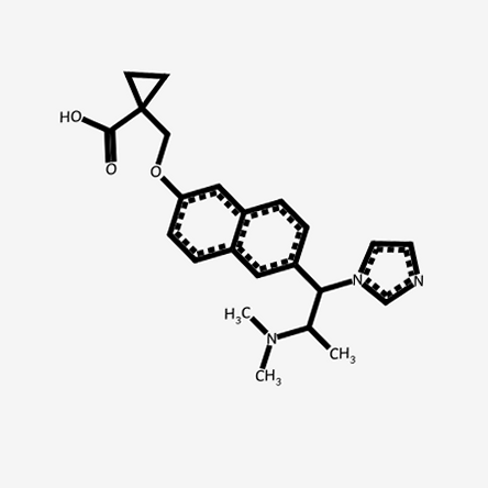 CC(C(c1ccc2cc(OCC3(C(=O)O)CC3)ccc2c1)n1ccnc1)N(C)C